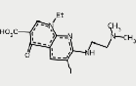 CCn1cc(C(=O)O)c(=O)c2cc(I)c(NCCN(C)C)nc21